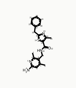 Cc1cc(N)nc(C)c1CNC(=O)c1sc(Cc2ccccc2)nc1C